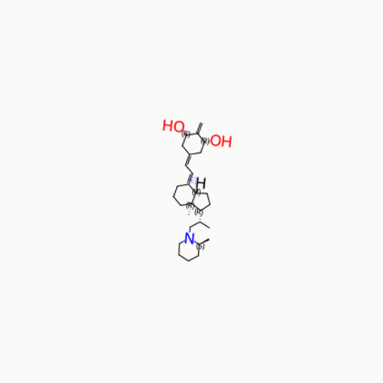 C=C1[C@H](O)CC(=C/C=C2\CCC[C@]3(C)[C@@H](C(C)CN4CCCC[C@@H]4C)CC[C@@H]23)C[C@H]1O